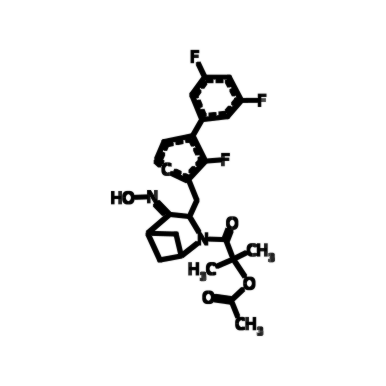 CC(=O)OC(C)(C)C(=O)N1C2CC(C2)C(=NO)C1Cc1cccc(-c2cc(F)cc(F)c2)c1F